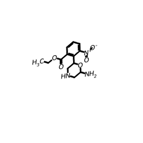 CCOC(=O)c1cccc([N+](=O)[O-])c1C1CNCC(N)O1